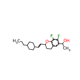 CCCC1CCC(/C=C/C2CCc3cc(C(C)O)c(F)c(F)c3O2)CC1